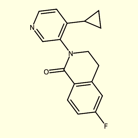 O=C1c2ccc(F)cc2CCN1c1cnccc1C1CC1